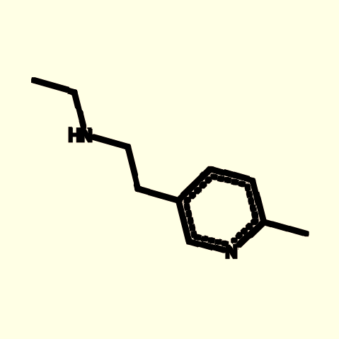 CCNCCc1ccc(C)nc1